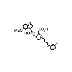 COc1ccc2nccc([C@@H](O)CC[C@@H]3CCN(CCCSc4cccc(F)c4)C[C@@H]3CC(=O)O)c2c1